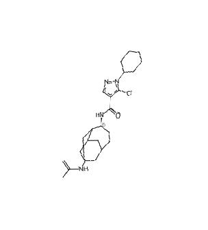 C=C(C)NC12CC3CC[C@H](NC(=O)c4cnn(C5CCCCC5)c4Cl)C(C1)C(C3)C2